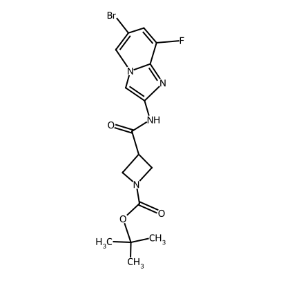 CC(C)(C)OC(=O)N1CC(C(=O)Nc2cn3cc(Br)cc(F)c3n2)C1